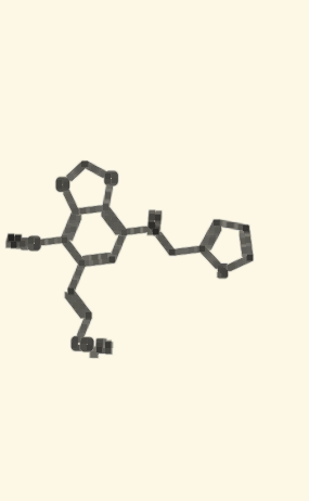 CCOC(=O)/C=C/c1cc(NCc2cccs2)c2c(c1OC)OCO2